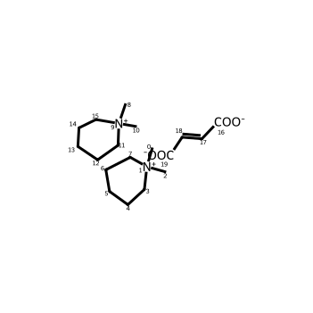 C[N+]1(C)CCCCC1.C[N+]1(C)CCCCC1.O=C([O-])C=CC(=O)[O-]